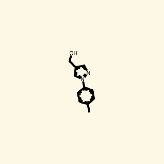 Cc1ccc(-n2cc(CO)cn2)cc1